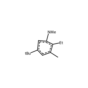 CCc1c(C)cc(C(C)(C)C)cc1NC